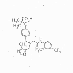 Cc1ncoc1CN(CC(=O)Nc1ccc(C(F)(F)F)cc1C(F)(F)F)Cc1ccc(OC(C)(C)C(=O)O)cc1